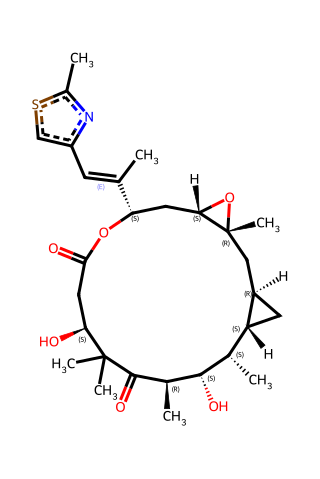 C/C(=C\c1csc(C)n1)[C@@H]1C[C@@H]2O[C@]2(C)C[C@H]2C[C@@H]2[C@H](C)[C@H](O)[C@@H](C)C(=O)C(C)(C)[C@@H](O)CC(=O)O1